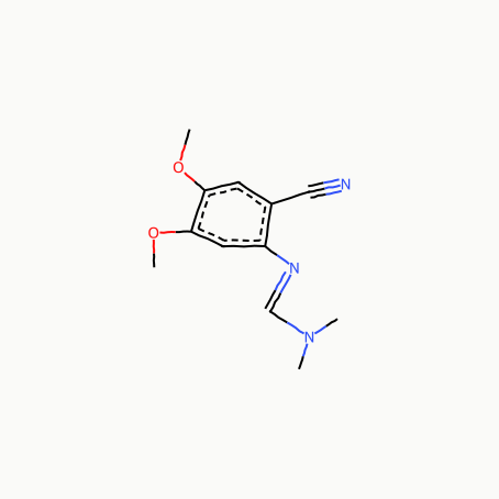 COc1cc(C#N)c(N=CN(C)C)cc1OC